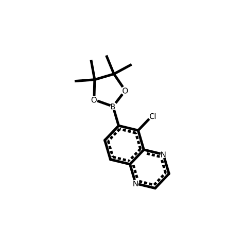 CC1(C)OB(c2ccc3nccnc3c2Cl)OC1(C)C